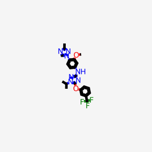 COc1cc(Nc2nc(Oc3cccc(C(F)(F)F)c3)n(C(C)C)n2)ccc1-n1cnc(C)n1